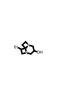 CCC1CN2CC(O)CN3CCC132